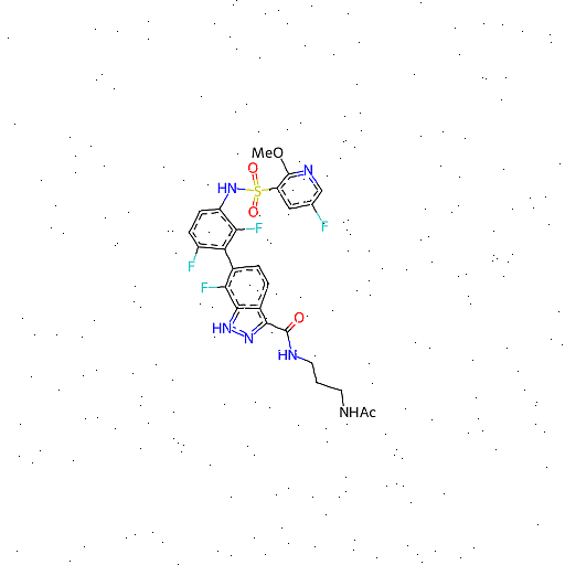 COc1ncc(F)cc1S(=O)(=O)Nc1ccc(F)c(-c2ccc3c(C(=O)NCCCNC(C)=O)n[nH]c3c2F)c1F